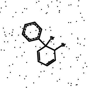 BrC1C=CC=CC1(Br)c1ccccc1